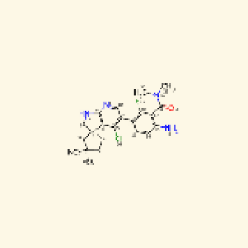 CC[C@@]1(C#N)CC[C@@]2(CNc3ncc(-c4ccc(N)c(C(=O)N(C)C)c4F)c(Cl)c32)C1